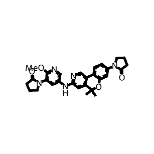 COc1ncc(Nc2cc3c(cn2)-c2ccc(N4CCCC4=O)cc2OC3(C)C)cc1N1CCCC1=O